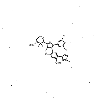 COc1cc2c(cc1-c1ccn(C)n1)-c1c(c(C3OCCN(C=O)C3(C)C)nn1-c1cc(Cl)cc(Cl)c1)CO2